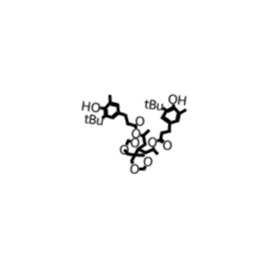 Cc1cc(CCC(=O)OC(C)CC2(CC(C)OC(=O)CCc3cc(C)c(O)c(C(C)(C)C)c3)OCOCC23COCOC3)cc(C(C)(C)C)c1O